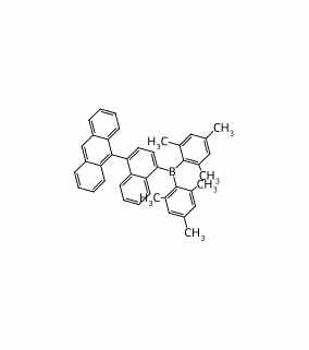 Cc1cc(C)c(B(c2c(C)cc(C)cc2C)c2ccc(-c3c4ccccc4cc4ccccc34)c3ccccc23)c(C)c1